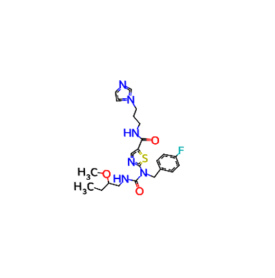 CCC(CNC(=O)N(Cc1ccc(F)cc1)c1ncc(C(=O)NCCCn2ccnc2)s1)OC